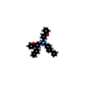 c1ccc(-c2ccc3cc(-c4nc(-c5ccc6c(c5)oc5ccccc56)nc(-c5cc(-c6ccc7ccccc7c6)c6c(c5)oc5ccccc56)n4)ccc3c2)cc1